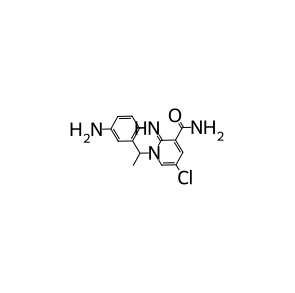 CC(c1cccc(N)c1)n1cc(Cl)cc(C(N)=O)c1=N